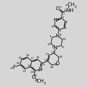 CNC(=O)c1ccc(N2CCN(C3C=C(c4cc5ccc(F)cc5c(OC)n4)COC3)CC2)cn1